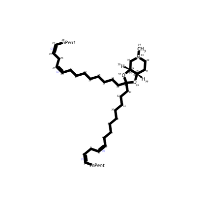 CCCCC/C=C\C/C=C\CCCCCCCCC1(CCCCCCCC/C=C\C/C=C\CCCCC)O[C@H]2CCN(C)C[C@H]2O1